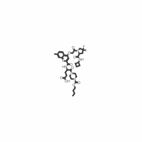 CCCCOC(=O)N1CCN(C(=O)C(CCC(=O)O)NC(=O)c2cc(OCC(=O)N3CC(F)(F)CC3C(=O)NC3CCC3)c3ccc(C)cc3n2)CC1